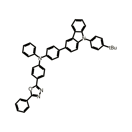 CC(C)(C)c1ccc(-n2c3ccccc3c3cc(-c4ccc(N(c5ccccc5)c5ccc(-c6nnc(-c7ccccc7)o6)cc5)cc4)ccc32)cc1